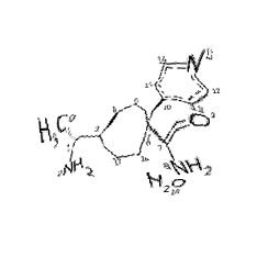 C[C@@H](N)[C@H]1CC[C@@](C(N)=O)(c2ccncc2)CC1.O